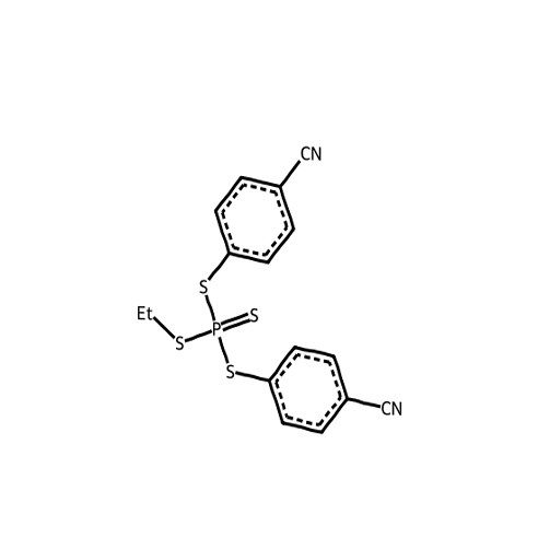 CCSP(=S)(Sc1ccc(C#N)cc1)Sc1ccc(C#N)cc1